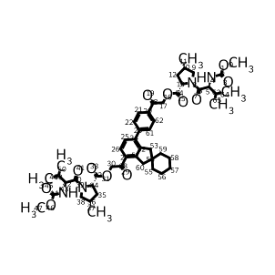 COC(=O)N[C@H](C(=O)N1C[C@@H](C)C[C@H]1C(=O)OCC(=O)c1ccc(-c2ccc(C(=O)COC(=O)[C@@H]3C[C@H](C)CN3C(=O)[C@@H](NC(=O)OC)C(C)C)c3c2CC2(CCCCC2)C3)cc1)C(C)C